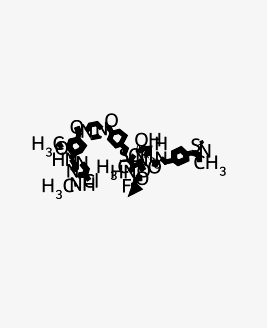 CNc1nc(Nc2ccc(C(=O)N3CCN(C(=O)C4CCC(CSC(C)(C)C(NC(=O)C5(F)CC5)C(=O)N5C[C@H](O)C[C@@H]5C(=O)NCc5ccc(-c6scnc6C)cc5)CC4)CC3)cc2OC)ncc1Cl